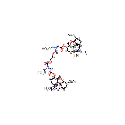 COc1ccc2c3c1O[C@H]1C(OC(=O)CN(CC(=O)O)C(=O)OCCOC(=O)N(CC(=O)O)CC(=O)OC4=CC[C@@]5(O)[C@H]6Cc7ccc(OC)c8c7[C@@]5(CCN6C)[C@H]4O8)=CC[C@@]4(O)[C@@H](C2)N(C)CC[C@]314